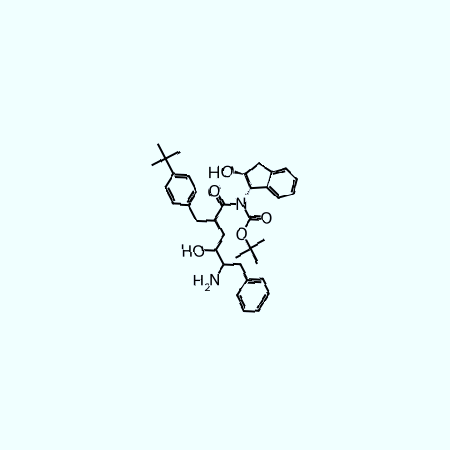 CC(C)(C)OC(=O)N(C(=O)C(Cc1ccc(C(C)(C)C)cc1)CC(O)C(N)Cc1ccccc1)[C@H]1c2ccccc2C[C@@H]1O